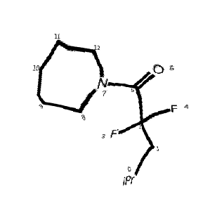 CC(C)CC(F)(F)C(=O)N1CCCCC1